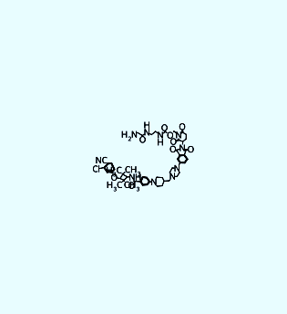 CC1(C)C(NC(=O)c2ccc(N3CCC(CN4CCN(c5ccc6c(c5)C(=O)N(C5CCC(=O)N(COC(=O)NCCNC(=O)CN)C5=O)C6=O)CC4)CC3)cc2)C(C)(C)C1Oc1ccc(C#N)c(Cl)c1